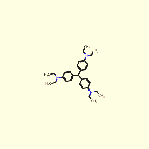 CCN(CC)c1ccc(C(c2ccc(N(CC)CC)cc2)C2C=CC(=[N+](CC)CC)C=C2)cc1